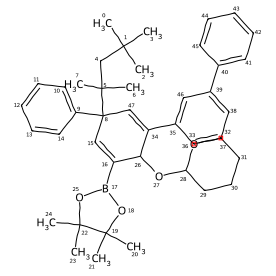 CC(C)(C)CC(C)(C)C1(c2ccccc2)C=C(B2OC(C)(C)C(C)(C)O2)C(OC2CCCCO2)C(c2cccc(-c3ccccc3)c2)=C1